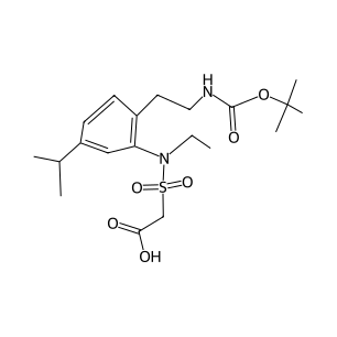 CCN(c1cc(C(C)C)ccc1CCNC(=O)OC(C)(C)C)S(=O)(=O)CC(=O)O